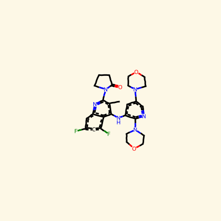 Cc1c(N2CCCC2=O)nc2cc(F)cc(F)c2c1Nc1cc(N2CCOCC2)cnc1N1CCOCC1